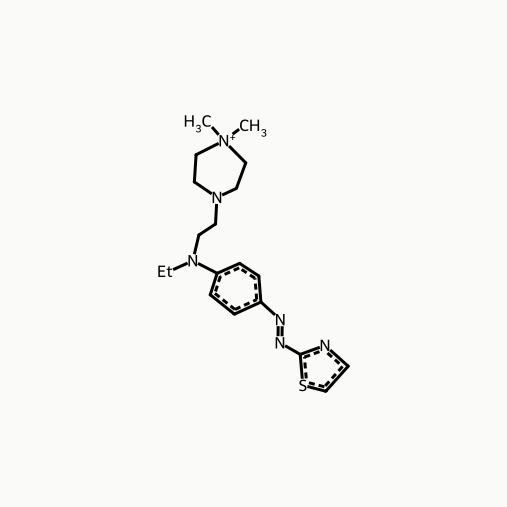 CCN(CCN1CC[N+](C)(C)CC1)c1ccc(/N=N/c2nccs2)cc1